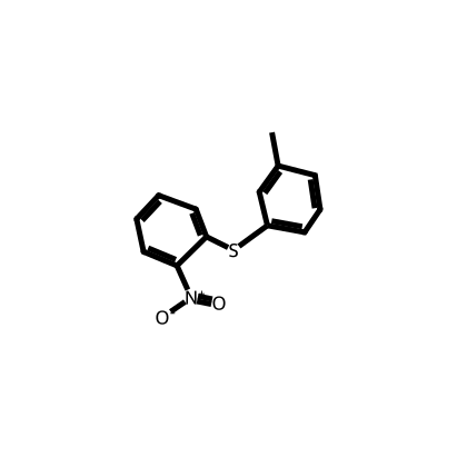 Cc1cccc(Sc2ccccc2[N+](=O)[O-])c1